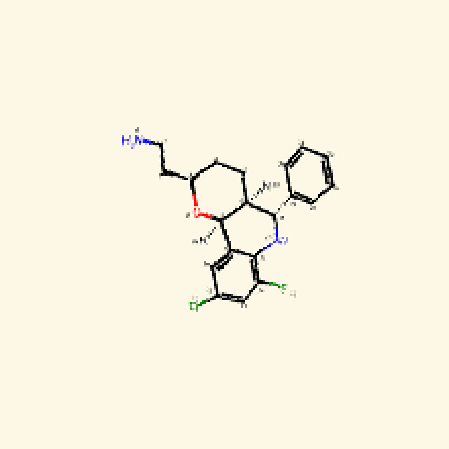 NCC[C@H]1CC[C@@H]2[C@H](O1)c1cc(Cl)cc(F)c1N[C@H]2c1ccccc1